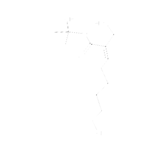 CCCCCCC=C(CC)C(=O)OC(C)(C)C